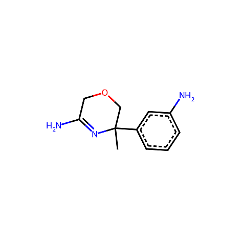 CC1(c2cccc(N)c2)COCC(N)=N1